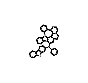 c1ccc(N(c2ccc3c(c2)oc2ccccc23)c2cc3ccc4cccc5c6ccccc6n6c7ccccc7c2c6c3c45)cc1